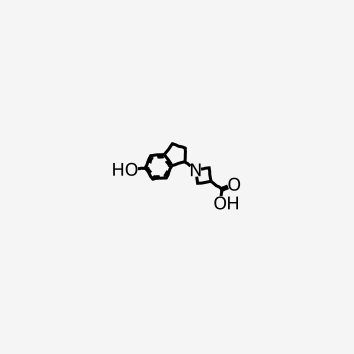 O=C(O)C1CN(C2CCc3cc(O)ccc32)C1